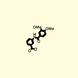 COc1ccc(C(=O)Nc2cccc(C(=O)Cl)c2)cc1OC